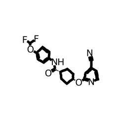 N#Cc1ccnc(O[C@H]2CC[C@@H](C(=O)Nc3ccc(OC(F)F)cc3)CC2)c1